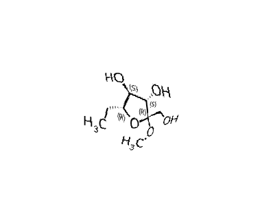 CC[C@H]1O[C@@](CO)(OC)[C@@H](O)[C@@H]1O